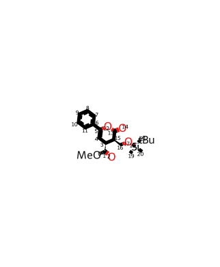 COC(=O)[C@@H]1C=C(c2ccccc2)OC(=O)[C@H]1CO[Si](C)(C)C(C)(C)C